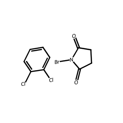 Clc1ccccc1Cl.O=C1CCC(=O)N1Br